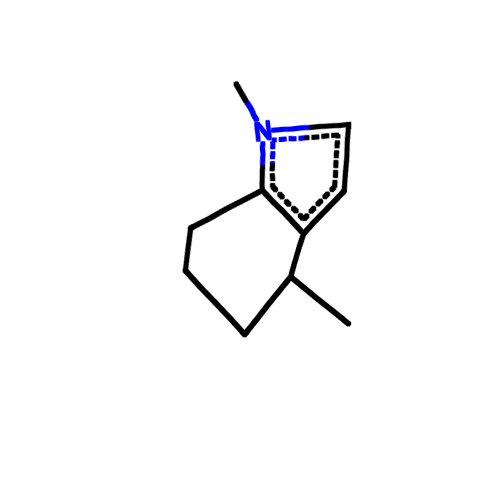 CC1CCCc2c1ccn2C